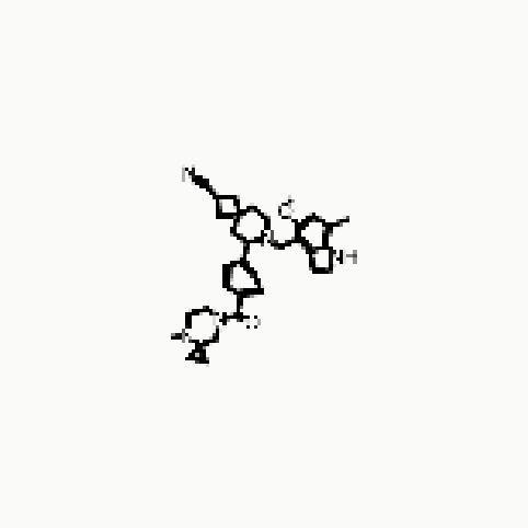 COc1cc(C)c2[nH]ccc2c1CN1CCC2(CC(C#N)C2)CC1c1ccc(C(=O)N2CCN(C)C3(CC3)C2)cc1